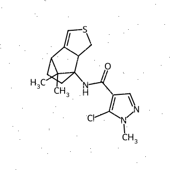 Cn1ncc(C(=O)NC23CCC(C4=CSCC42)C3(C)C)c1Cl